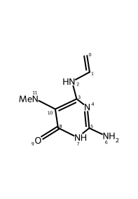 C=CNc1nc(N)[nH]c(=O)c1NC